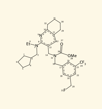 CCN(CC1CCCC1)c1nc2c(cc1CN(Cc1cc(CF)cc(C(F)(F)F)c1)C(=O)OC)CCCC2